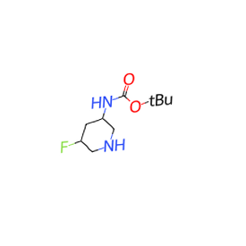 CC(C)(C)OC(=O)NC1CNCC(F)C1